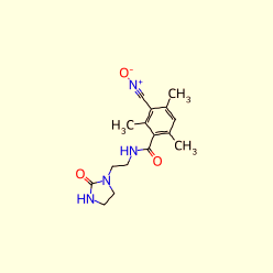 Cc1cc(C)c(C(=O)NCCN2CCNC2=O)c(C)c1C#[N+][O-]